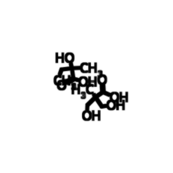 CC(CO)(CO)C(=O)O.CCC(C)(O)C(=O)O